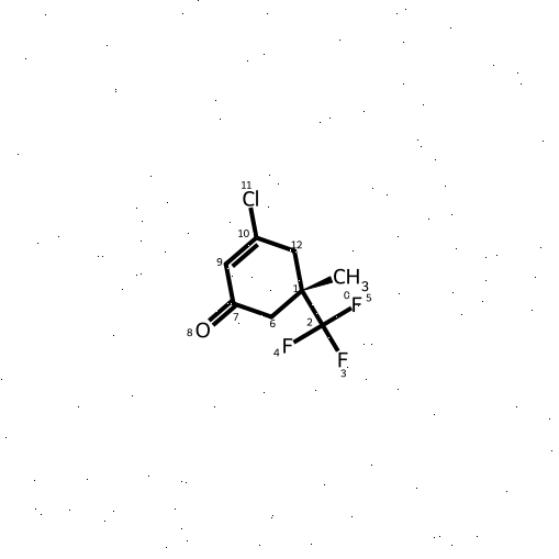 C[C@@]1(C(F)(F)F)CC(=O)C=C(Cl)C1